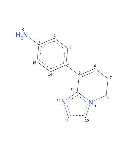 Nc1ccc(C2=CCCn3ccnc32)cc1